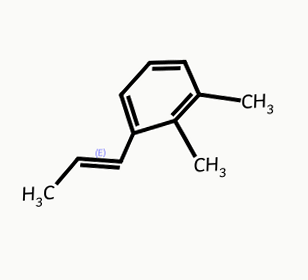 C/C=C/c1cccc(C)c1C